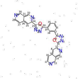 c1cc(-c2nnc(-c3cc4ccncc4cn3)o2)cc(-c2nnc(-c3cc4ccncc4cn3)o2)c1